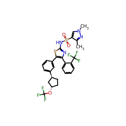 Cc1nn(C)cc1S(=O)(=O)Nc1nc(-c2ccccc2C(F)(F)F)c(-c2cccc([C@H]3CC[C@H](OC(F)(F)F)C3)c2)s1